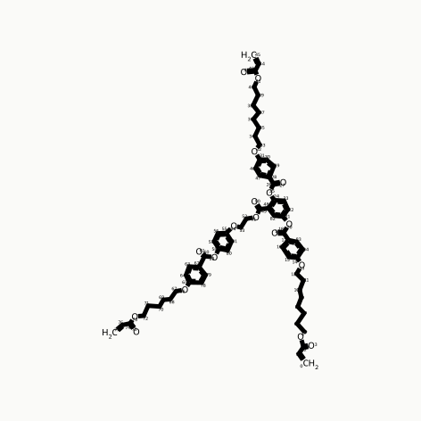 C=CC(=O)OCCCCCCCCOc1ccc(C(=O)Oc2ccc(OC(=O)c3ccc(OCCCCCCCCOC(=O)C=C)cc3)c(C(=O)OCCOc3ccc(OC(=O)c4ccc(OCCCCCCOC(=O)C=C)cc4)cc3)c2)cc1